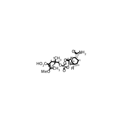 COC(C)C(CC(C)(C)COS(=O)(=O)ON1C(=O)N2C[C@H]1CC[C@H]2C(N)=O)C(=O)O